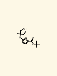 CCC(C)(CO)Oc1ccn(C(=O)OC(C)(C)C)n1